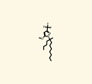 CCCCCCCC(C)(CCCC)n1nc(C(F)(F)F)cc1OC